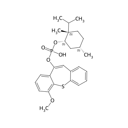 COc1cccc2c1Sc1ccccc1C=C2OP(=O)(O)O[C@H]1C[C@@H](C)CC[C@@]1(C)C(C)C